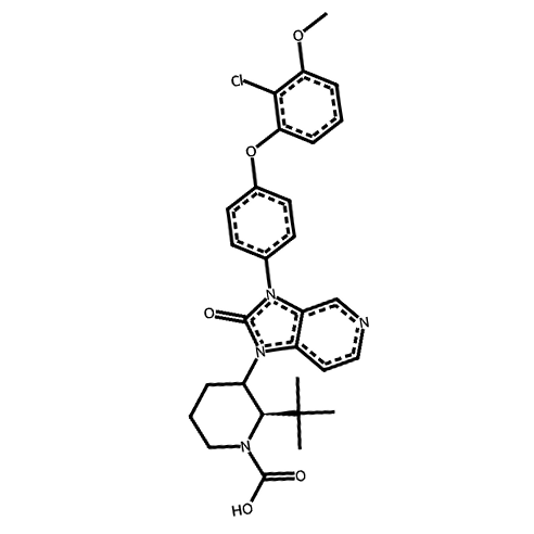 COc1cccc(Oc2ccc(-n3c(=O)n(C4CCCN(C(=O)O)[C@@H]4C(C)(C)C)c4ccncc43)cc2)c1Cl